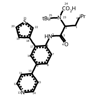 CC(C)CC(C(=O)Nc1ccc(-c2ccncc2)cc1-c1ccsc1)N(C(=O)O)C(C)(C)C